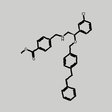 COC(=O)c1ccc(CNC[C@H](OCc2ccc(CCc3ccccc3)cc2)c2cccc(Cl)c2)cc1